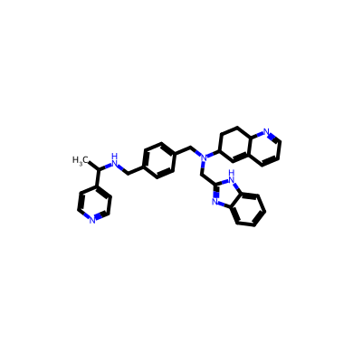 CC(NCc1ccc(CN(Cc2nc3ccccc3[nH]2)C2C=C3C=CC=NC3CC2)cc1)c1ccncc1